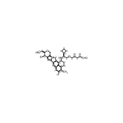 CCCC/C=C1/OCc2c(cc3n2Cc2c-3nc3cc(F)c(C)c4c3c2C(NC(COCNCNC=O)=C2CCC2)CC4)C1CC